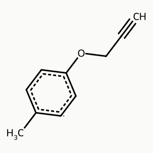 C#CCOc1c[c]c(C)cc1